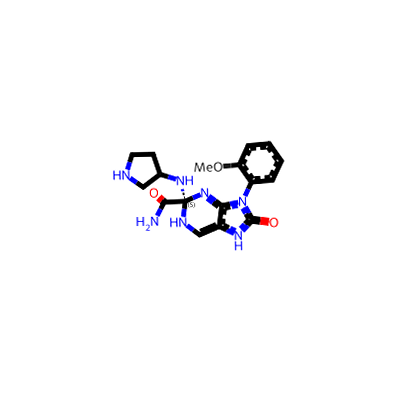 COc1ccccc1-n1c(=O)[nH]c2c1=N[C@](NC1CCNC1)(C(N)=O)NC=2